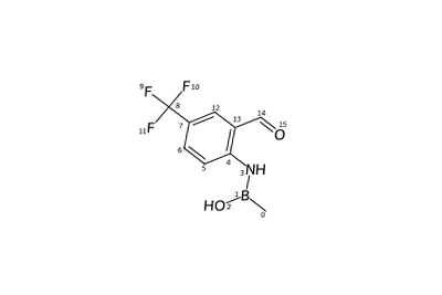 CB(O)Nc1ccc(C(F)(F)F)cc1C=O